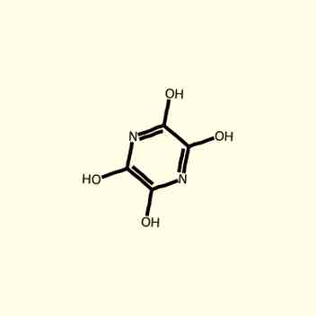 Oc1nc(O)c(O)nc1O